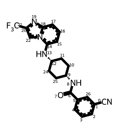 N#Cc1cccc(C(=O)N[C@H]2CC[C@@H](Nc3cccc4nc(C(F)(F)F)cn34)CC2)c1